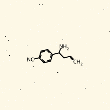 C=CCC(N)c1ccc(C#N)cc1